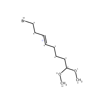 COC(CCC/C=C/CCBr)OC